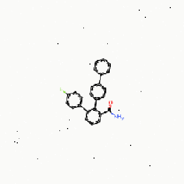 NC(=O)c1cccc(-c2ccc(F)cc2)c1-c1ccc(-c2ccccc2)cc1